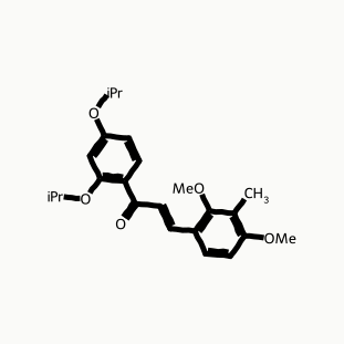 COc1ccc(C=CC(=O)c2ccc(OC(C)C)cc2OC(C)C)c(OC)c1C